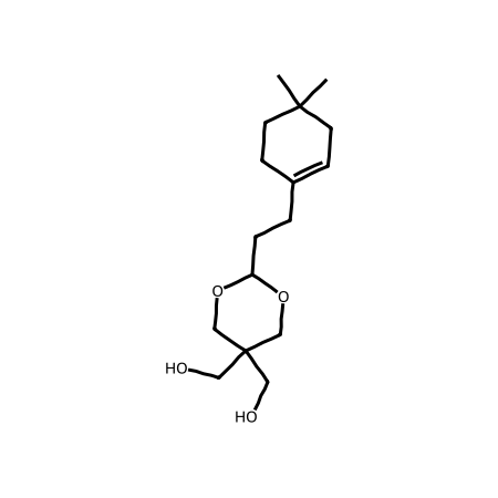 CC1(C)CC=C(CCC2OCC(CO)(CO)CO2)CC1